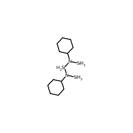 [SiH3]N([SiH2]N([SiH3])C1CCCCC1)C1CCCCC1